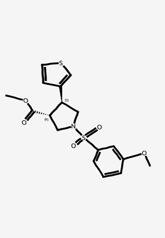 COC(=O)[C@H]1CN(S(=O)(=O)c2cccc(OC)c2)C[C@@H]1c1ccsc1